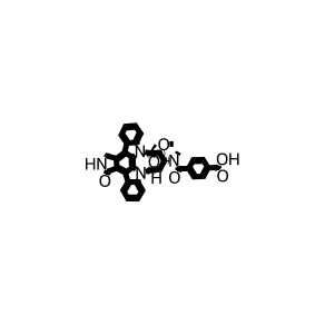 CO[C@@H]1[C@H](N(C)C(=O)c2ccc(C(=O)O)cc2)C[C@H]2O[C@]1(C)n1c3ccccc3c3c4c(c5c6ccccc6n2c5c31)C(=O)NC4